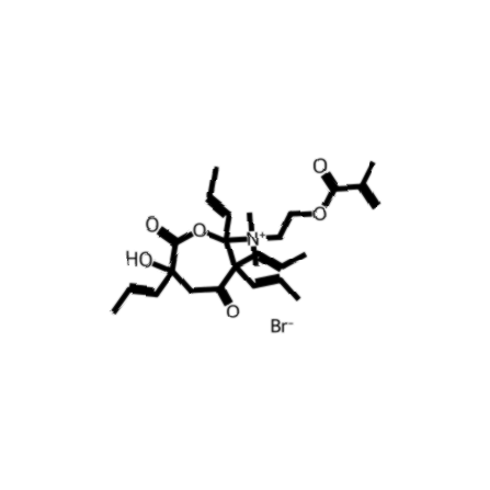 C=C(C)C(=O)OCC[N+](C)(C)C1(C=CC)OC(=O)C(O)(C=CC)CC(=O)C1(C=CC)C=CC.[Br-]